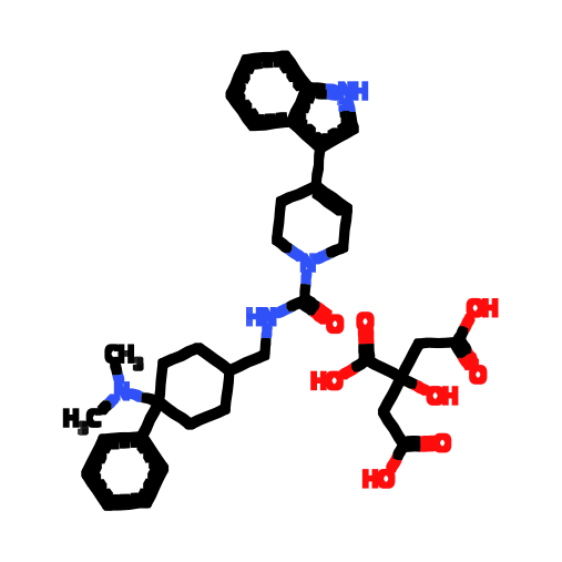 CN(C)C1(c2ccccc2)CCC(CNC(=O)N2CC=C(c3c[nH]c4ccccc34)CC2)CC1.O=C(O)CC(O)(CC(=O)O)C(=O)O